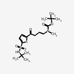 CN(CCCC(=O)c1ccc(S(=O)(=O)NC(C)(C)C)s1)C(=O)OC(C)(C)C